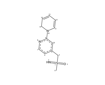 CS(=N)(=O)Cc1ccnc(N2C=CC=CC2)c1